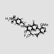 COc1ncnc(C2CC2)c1-c1nc(C)c2nc(NCc3ccc(S(N)(=O)=O)cn3)c(=O)n([C@@H](C)C(F)(F)F)c2n1